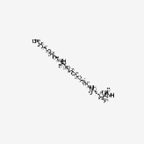 O=C(CCCCC1SCC2NC(=O)NC21)NCCOCCOCCOCCOCCC(=O)NCCOCCOCCCCCCCl